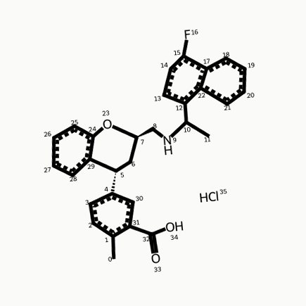 Cc1ccc([C@H]2C[C@H](CNC(C)c3ccc(F)c4ccccc34)Oc3ccccc32)cc1C(=O)O.Cl